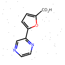 O=C(O)c1ccc(-c2cnccn2)o1